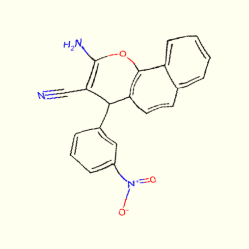 N#CC1=C(N)Oc2c(ccc3ccccc23)C1c1cccc([N+](=O)[O-])c1